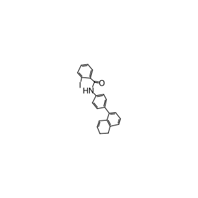 O=C(Nc1ccc(-c2cccc3c2C=CCC3)cc1)c1ccccc1I